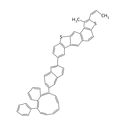 C/C=C\c1sc2ccc3cc4c(cc3c2c1C)sc1ccc(-c2ccc3cc(-c5ccccccc(-c6ccccc6)c6ccccc56)ccc3c2)cc14